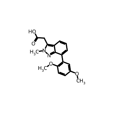 COc1ccc(OC)c(-c2cccc3c(CC(=O)O)n(C)nc23)c1